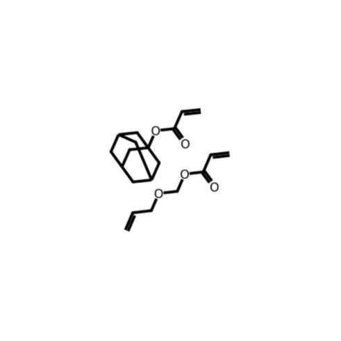 C=CC(=O)OC12CC3CC(CC(C3)C1)C2.C=CCOCOC(=O)C=C